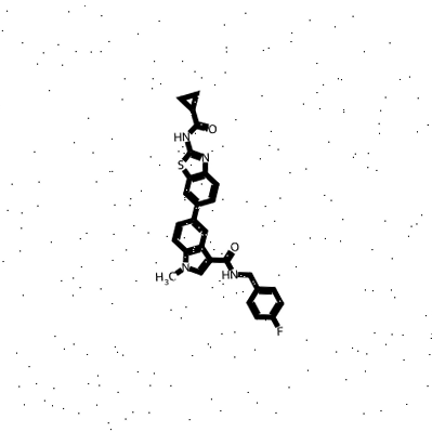 Cn1cc(C(=O)NCc2ccc(F)cc2)c2cc(-c3ccc4nc(NC(=O)C5CC5)sc4c3)ccc21